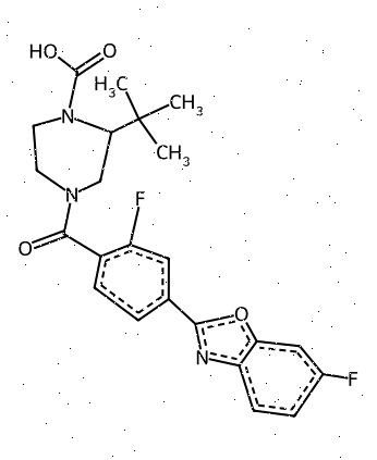 CC(C)(C)C1CN(C(=O)c2ccc(-c3nc4ccc(F)cc4o3)cc2F)CCN1C(=O)O